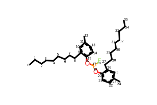 CCCCCCCCCc1cc(C)ccc1OP(F)Oc1ccc(C)cc1CCCCCCCCC